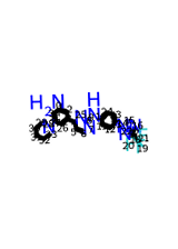 Nc1cc(-c2ccnc(Nc3ccc(-n4cnc(C(F)(F)F)n4)cc3)n2)cc(N2CCCCC2)c1